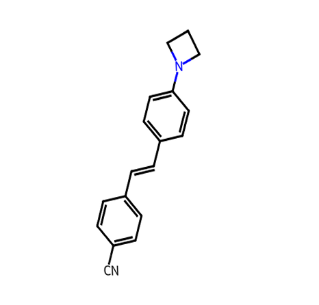 N#Cc1ccc(C=Cc2ccc(N3CCC3)cc2)cc1